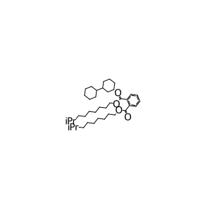 C1CCC(C2CCCCC2)CC1.CC(C)CCCCCCCOC(=O)c1ccccc1C(=O)OCCCCCCCC(C)C